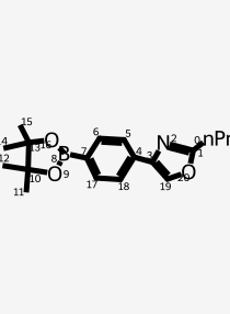 CCCc1nc(-c2ccc(B3OC(C)(C)C(C)(C)O3)cc2)co1